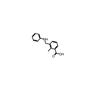 Cc1c(CNc2ccccc2)cccc1C(=O)O